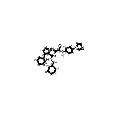 O=C(Nc1ccc(-n2ccnc2)cc1)c1nc(NCc2ccccc2)c2c(-c3ccccc3)ccn2n1